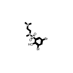 CN(C)CCN(C)S(=O)(=O)c1cc(Br)cc(Br)c1O